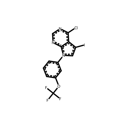 FC(F)(F)Oc1cccc(-n2cc(I)c3c(Cl)ncnc32)c1